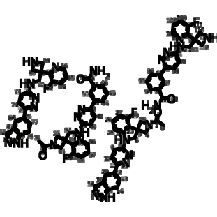 CC(=O)N1CC(CNc2ccc(-c3ccc4[nH]ncc4c3)nn2)(c2ncccc2F)C1.CC(=O)N1CC(CNc2ccc(-c3cccc(C(N)=O)c3)nn2)(c2ncccc2F)C1.Fc1cccnc1C1(CNc2ccc(-c3ccc4[nH]ncc4c3)nn2)CNC1.NC(=O)c1cccc(-c2ccc(NCC3(c4ncccc4F)CNC3)nn2)c1